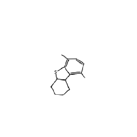 Cc1ccc(C)c2c1SC1CCCCC21